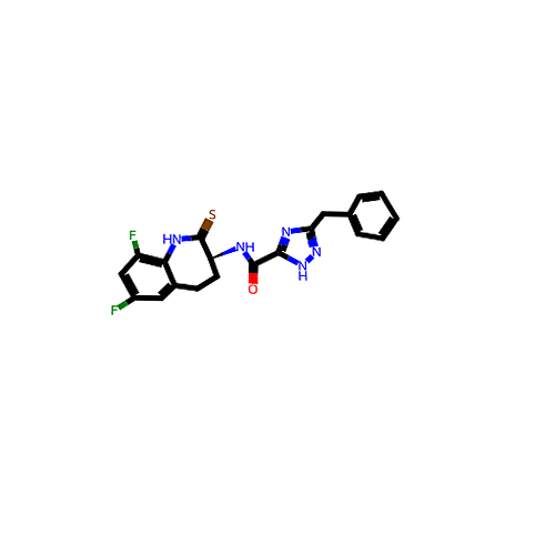 O=C(N[C@H]1CCc2cc(F)cc(F)c2NC1=S)c1nc(Cc2ccccc2)n[nH]1